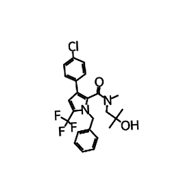 CN(CC(C)(C)O)C(=O)c1c(-c2ccc(Cl)cc2)cc(C(F)(F)F)n1Cc1ccccc1